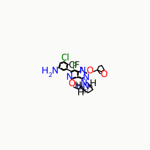 Nc1cc(Cl)c(C(F)(F)F)c(-c2nc3c4c(nc(OCC56CCC(C5)OC6)nc4c2F)N2C[C@H]4CC[C@H](N4)[C@H]2CCO3)c1